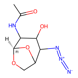 CC(=O)NC1C(O)C(N=[N+]=[N-])C2CO[C@@H]1O2